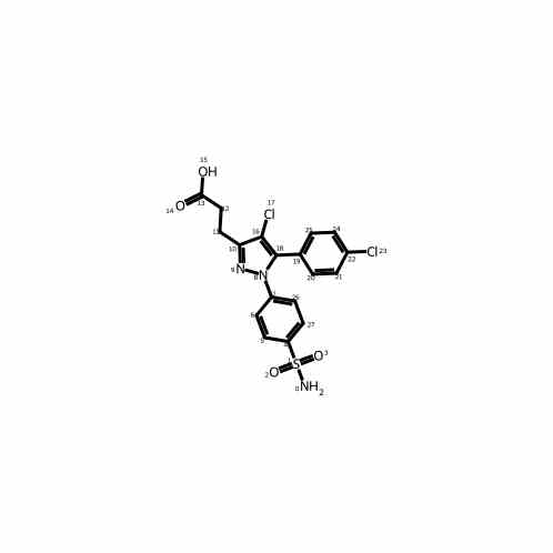 NS(=O)(=O)c1ccc(-n2nc(CCC(=O)O)c(Cl)c2-c2ccc(Cl)cc2)cc1